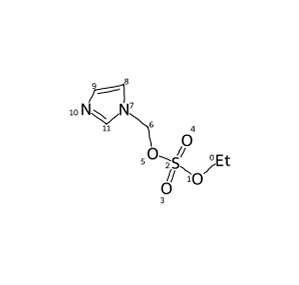 CCOS(=O)(=O)OCn1ccnc1